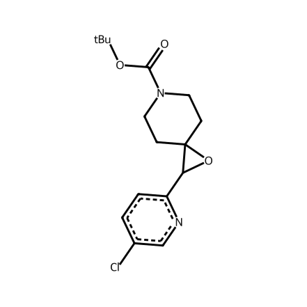 CC(C)(C)OC(=O)N1CCC2(CC1)OC2c1ccc(Cl)cn1